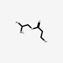 CC(=O)CCC(=O)OCC(N)C(C)=O